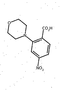 O=C(O)c1ccc([N+](=O)[O-])cc1N1CCOCC1